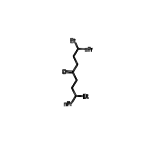 CCCC(CC)CCC(=O)CCC(CC)CCC